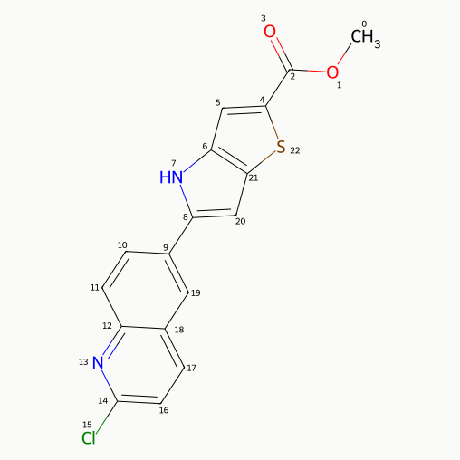 COC(=O)c1cc2[nH]c(-c3ccc4nc(Cl)ccc4c3)cc2s1